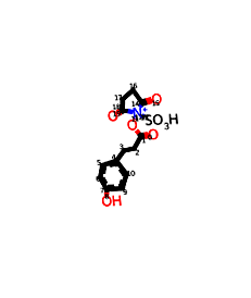 O=C(CCc1ccc(O)cc1)O[N+]1(S(=O)(=O)O)C(=O)CCC1=O